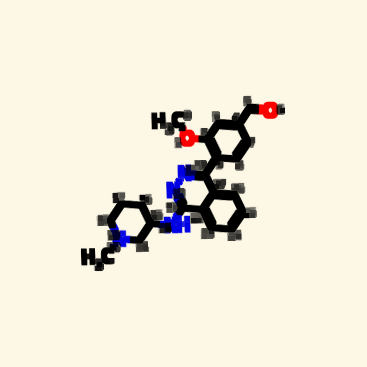 COc1cc(C=O)ccc1-c1nnc(NC2CCCN(C)C2)c2ccccc12